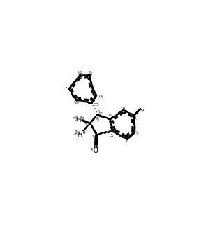 [2H]C1([2H])C(=O)c2ccc(C)cc2[C@H]1c1ccccc1